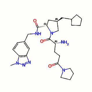 Cn1nnc2cc(CNC(=O)[C@@H]3C[C@@H](CC4CCCC4)CN3C(=O)[C@H](N)CCC(=O)N3CCCC3)ccc21